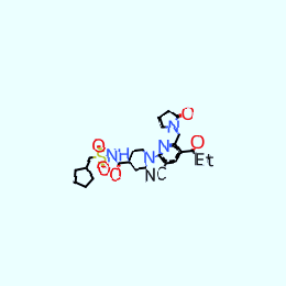 CCC(=O)c1cc(C#N)c(N2CCC(C(=O)NS(=O)(=O)CC3CCCC3)CC2)nc1CN1CCCC1=O